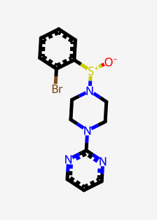 [O-][S+](c1ccccc1Br)N1CCN(c2ncccn2)CC1